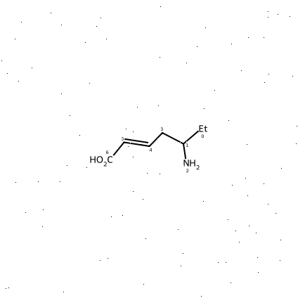 CCC(N)CC=CC(=O)O